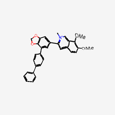 COc1ccc2cc(-c3cc4c(c(-c5ccc(-c6ccccc6)cc5)c3)OCO4)[n+](C)cc2c1OC